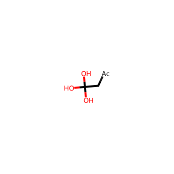 CC(=O)CC(O)(O)O